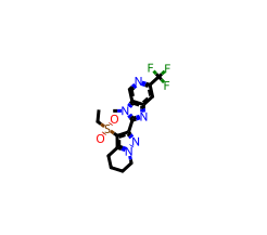 CCS(=O)(=O)c1c(-c2nc3cc(C(F)(F)F)ncc3n2C)nn2c1CCCC2